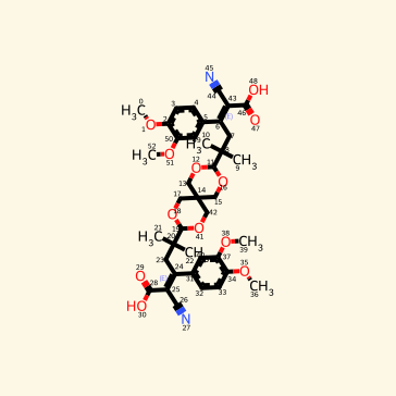 COc1ccc(/C(CC(C)(C)C2OCC3(CO2)COC(C(C)(C)C/C(=C(/C#N)C(=O)O)c2ccc(OC)c(OC)c2)OC3)=C(\C#N)C(=O)O)cc1OC